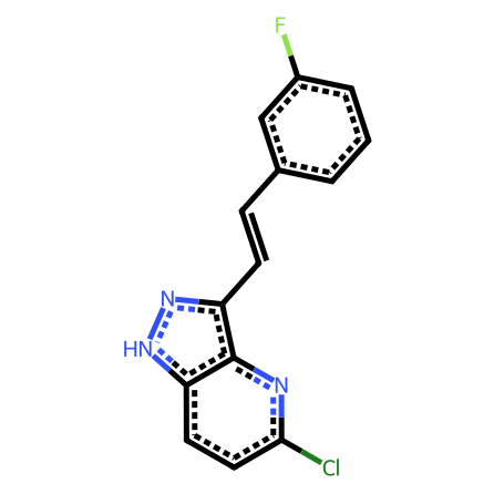 Fc1cccc(C=Cc2n[nH]c3ccc(Cl)nc23)c1